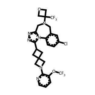 FC(F)(F)Oc1cccnc1N1CC2(CC(c3nnc4n3-c3ccc(Cl)cc3CN(C3(C(F)(F)F)COC3)C4)C2)C1